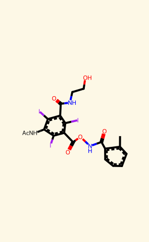 CC(=O)Nc1c(I)c(C(=O)NCCO)c(I)c(C(=O)ONC(=O)c2ccccc2C)c1I